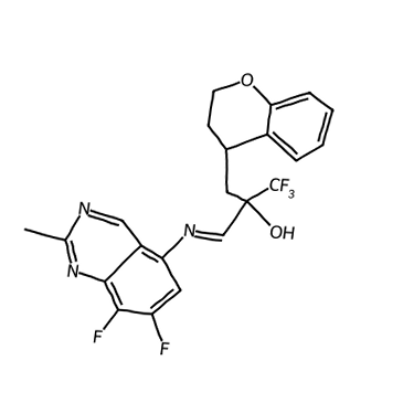 Cc1ncc2c(N=CC(O)(CC3CCOc4ccccc43)C(F)(F)F)cc(F)c(F)c2n1